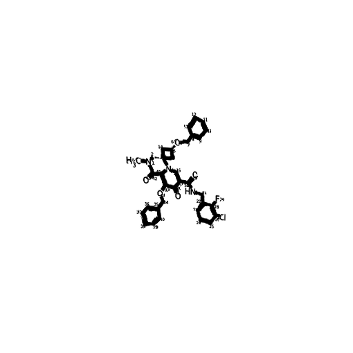 CN1C[C@]2(C[C@H](OCc3ccccc3)C2)n2cc(C(=O)NCc3cccc(Cl)c3F)c(=O)c(OCc3ccccc3)c2C1=O